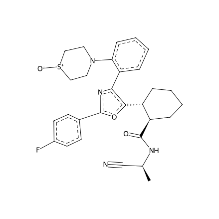 C[C@@H](C#N)NC(=O)[C@@H]1CCCC[C@H]1c1oc(-c2ccc(F)cc2)nc1-c1ccccc1N1CC[S+]([O-])CC1